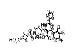 COC(=O)C1=C(C2CCN(S(=O)(=O)[C@H]3C[C@@H](C(=O)O)C3)CC2)NC(c2nccs2)=NC1c1ccc(F)c(F)c1Cl